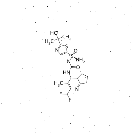 Cc1c(C(F)F)nc2c(c1NC(=O)N=[S@@](N)(=O)c1cnc(C(C)(C)O)s1)CCC2